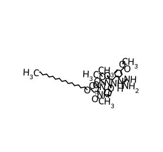 CCCCCCCCCCCCCCCCOC(=O)C[C@H](NC(C)=O)C(=O)N(c1ccccc1)[C@H](C(=O)OC(C)C)N1C(=O)NC(c2ccc(C(=O)OC)cc2NC(=N)N)C1=O